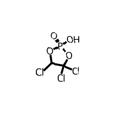 O=P1(O)OC(Cl)C(Cl)(Cl)O1